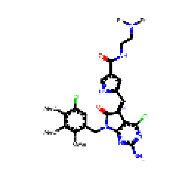 CCN(CC)CCNC(=O)c1c[nH]c(/C=C2\C(=O)N(Cc3cc(Cl)c(OC)c(OC)c3OC)c3nc(N)nc(Cl)c32)c1